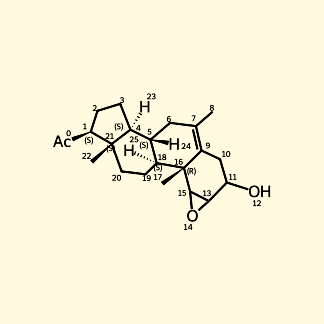 CC(=O)[C@H]1CC[C@H]2[C@@H]3CC(C)=C4CC(O)C5OC5[C@]4(C)[C@H]3CC[C@]12C